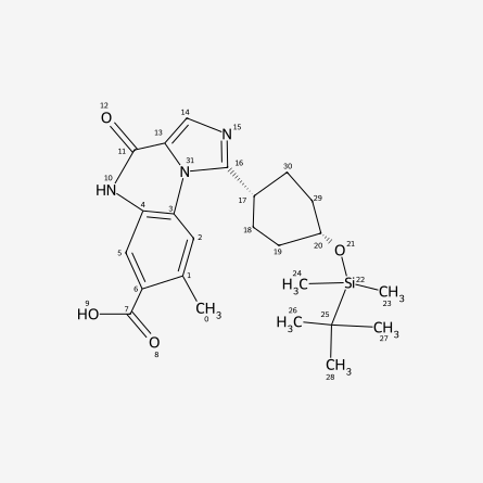 Cc1cc2c(cc1C(=O)O)[nH]c(=O)c1cnc([C@H]3CC[C@@H](O[Si](C)(C)C(C)(C)C)CC3)n12